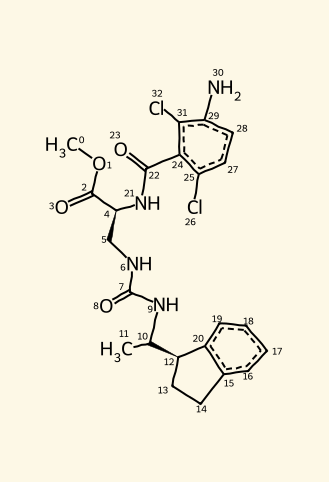 COC(=O)[C@H](CNC(=O)NC(C)[C@@H]1CCc2ccccc21)NC(=O)c1c(Cl)ccc(N)c1Cl